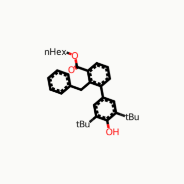 CCCCCCOC(=O)c1cccc(-c2cc(C(C)(C)C)c(O)c(C(C)(C)C)c2)c1Cc1ccccc1